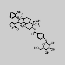 C=C1CCC2C(C)(CO)C(OC(=O)c3ccc(OC4OC(CO)C(O)C(O)C4O)cc3)CCC2(C)C1CC(Sc1ccccc1N)C1=CCOC1=O